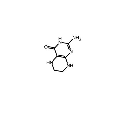 Nc1nc2c(c(=O)[nH]1)NCCN2